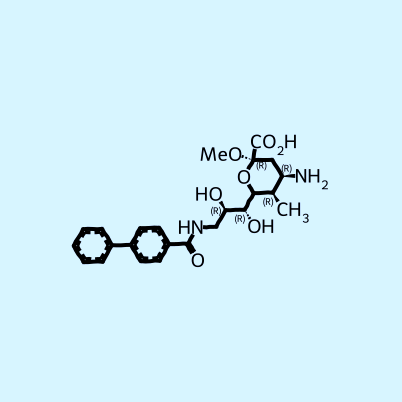 CO[C@]1(C(=O)O)C[C@@H](N)[C@@H](C)C([C@H](O)[C@H](O)CNC(=O)c2ccc(-c3ccccc3)cc2)O1